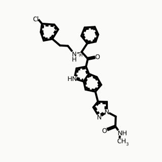 CNC(=O)Cn1cc(-c2ccc3c(C(=O)[C@H](NCCc4ccc(Cl)cc4)c4ccccc4)c[nH]c3c2)cn1